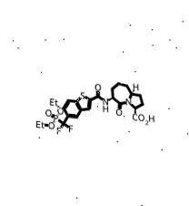 CCOP(=O)(OCC)C(F)(F)c1ccc2sc(C(=O)N[C@H]3CCC[C@H]4CC[C@@H](C(=O)O)N4C3=O)cc2c1